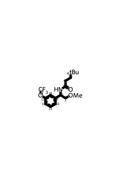 COCC(NC(=O)CCC(C)(C)C)c1cccc(OC(F)(F)F)c1